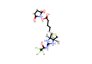 O=C(CCCC[C@@H]1SC[C@@H]2N/C(=N/C(=O)C(F)(F)F)N[C@@H]21)ON1C(=O)CCC1=O